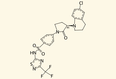 O=C1[C@H](N2CCCc3cc(Cl)ccc32)CCN1c1ccc(S(=O)(=O)Nc2nc(C(F)(F)F)ns2)cc1